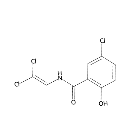 O=C(NC=C(Cl)Cl)c1cc(Cl)ccc1O